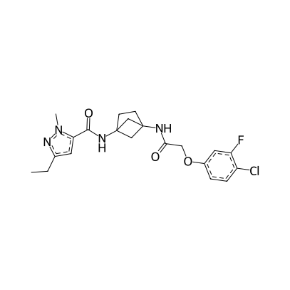 CCc1cc(C(=O)NC23CCC(NC(=O)COc4ccc(Cl)c(F)c4)(C2)C3)n(C)n1